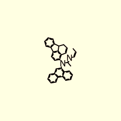 C/C=C\N=C(/C)N(c1ccc2c3c1C=CCC3c1ccccc1-2)c1cc2ccccc2c2ccccc12